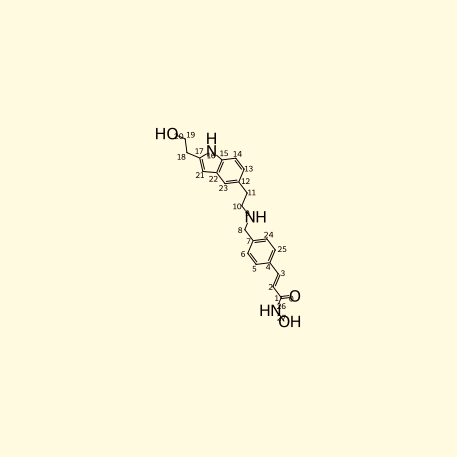 O=C(/C=C/c1ccc(CNCCc2ccc3[nH]c(CCO)cc3c2)cc1)NO